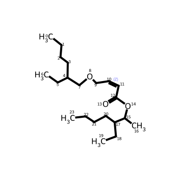 CCCCC(CC)COC/C=C\C(=O)OC(C)C(CC)CCCC